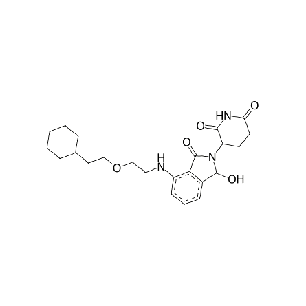 O=C1CCC(N2C(=O)c3c(NCCOCCC4CCCCC4)cccc3C2O)C(=O)N1